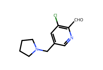 O=Cc1ncc(CN2CCCC2)cc1Cl